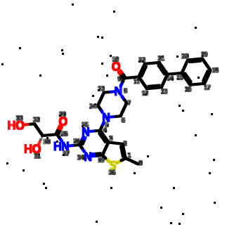 Cc1cc2c(N3CCN(C(=O)c4ccc(-c5ccccc5)cc4)CC3)nc(NC(=O)[C@H](O)CO)nc2s1